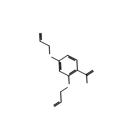 C=CCSc1ccc(C(=O)O)c(SCC=C)c1